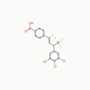 O=C(O)c1ccc(C(F)=CC(c2cc(Cl)c(Cl)c(Cl)c2)C(F)(F)F)cc1